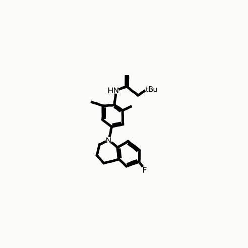 C=C(CC(C)(C)C)Nc1c(C)cc(N2CCCc3cc(F)ccc32)cc1C